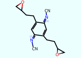 N#C/N=C1C=C(CCC2CO2)/C(=N\C#N)C=C/1CCC1CO1